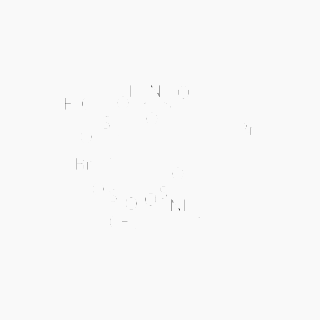 NS(=O)(=O)c1cc(Br)ccc1-c1cc(S(=O)(=O)C(F)(F)F)c(Br)c(S(=O)(=O)C(F)(F)F)c1S(N)(=O)=O